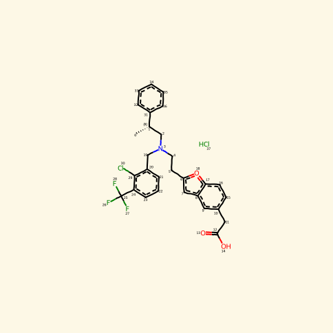 C[C@@H](CN(CCc1cc2cc(CC(=O)O)ccc2o1)Cc1cccc(C(F)(F)F)c1Cl)c1ccccc1.Cl